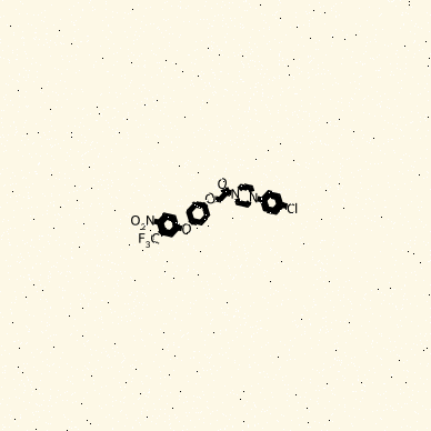 O=C(COC1CCC(Oc2ccc([N+](=O)[O-])c(C(F)(F)F)c2)CC1)N1CCN(c2ccc(Cl)cc2)CC1